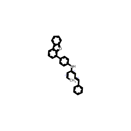 C\C=C/C(=C\C=C\c1ccccc1)Nc1ccc(-c2cccc3c2oc2ccccc23)cc1